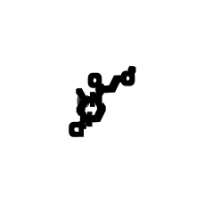 COCCC(=O)N1CCN(Cl)C[C@H]1C